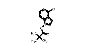 CC(C)(C)C(=O)On1ccc2c(Cl)nccc21